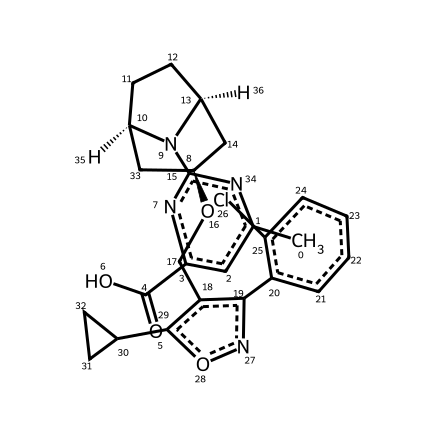 Cc1cc(C(=O)O)nc(N2[C@@H]3CC[C@H]2C[C@@H](OCc2c(-c4ccccc4Cl)noc2C2CC2)C3)n1